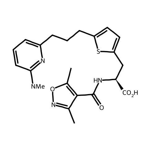 CNc1cccc(CCCc2ccc(C[C@H](NC(=O)c3c(C)noc3C)C(=O)O)s2)n1